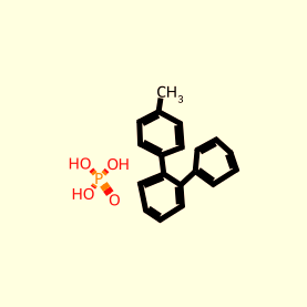 Cc1ccc(-c2ccccc2-c2ccccc2)cc1.O=P(O)(O)O